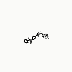 O=C(Nc1ccc(-c2cnc(CCNS(=O)(=O)C(F)(F)F)s2)cc1)c1ccccc1